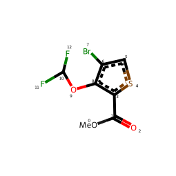 COC(=O)c1scc(Br)c1OC(F)F